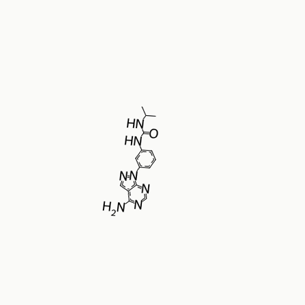 CC(C)NC(=O)Nc1cccc(-n2ncc3c(N)ncnc32)c1